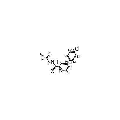 COC(=O)CNC(=O)c1cc(-c2ccc(Cl)cc2)ccn1